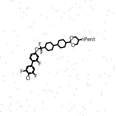 CCCCCC1COC(C2CCC(C3CCC(C(F)(F)Oc4ccc(-c5cc(F)c(Cl)c(F)c5)c(F)c4)CC3)CC2)OC1